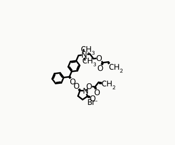 C=CC(=O)OCC[N+](C)(C)Cc1ccc(C(=O)c2ccccc2)cc1.C=CC(=O)ON1C(=O)CCC1=O.[Br-]